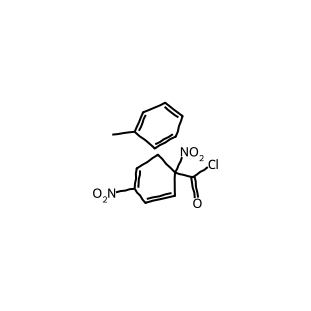 Cc1ccccc1.O=C(Cl)C1([N+](=O)[O-])C=CC([N+](=O)[O-])=CC1